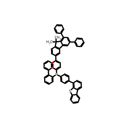 CC1(C)c2ccc(-c3ccc(N(c4ccc(-c5cccc6c5sc5ccccc56)cc4)c4ccccc4-c4ccccc4)cc3)cc2-c2cc(-c3ccccc3)cc(-c3ccccc3)c21